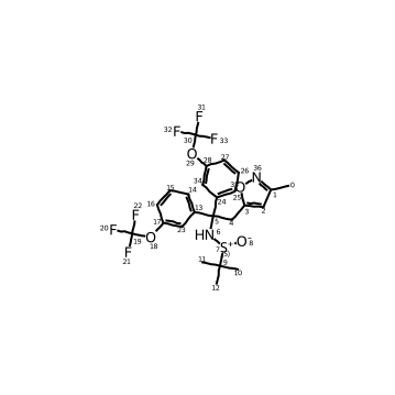 Cc1cc(CC(N[S@+]([O-])C(C)(C)C)(c2cccc(OC(F)(F)F)c2)c2cccc(OC(F)(F)F)c2)on1